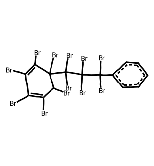 BrC1=C(Br)C(Br)C(Br)(C(Br)(Br)C(Br)(Br)C(Br)(Br)c2ccccc2)C(Br)=C1Br